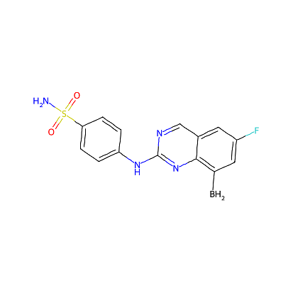 Bc1cc(F)cc2cnc(Nc3ccc(S(N)(=O)=O)cc3)nc12